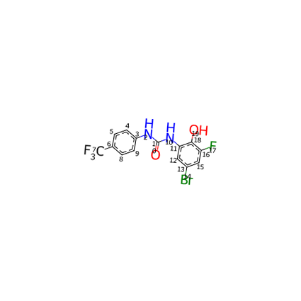 O=C(Nc1ccc(C(F)(F)F)cc1)Nc1cc(Br)cc(F)c1O